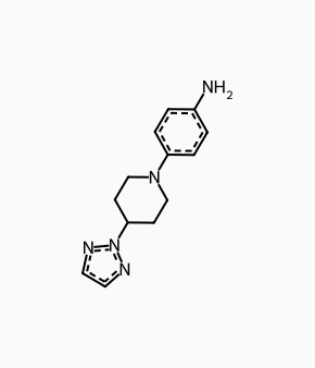 Nc1ccc(N2CCC(n3nccn3)CC2)cc1